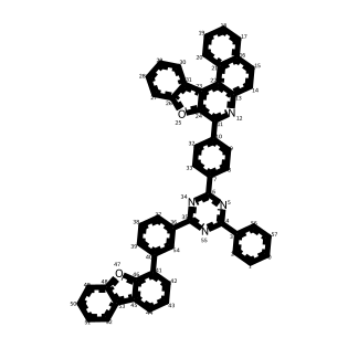 c1ccc(-c2nc(-c3ccc(-c4nc5ccc6ccccc6c5c5c4oc4ccccc45)cc3)nc(-c3cccc(-c4cccc5c4oc4ccccc45)c3)n2)cc1